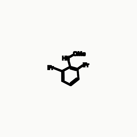 CONc1c(C(C)C)cccc1C(C)C